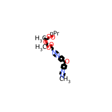 CCCC(=O)OCC(C)OCC(C)OC(=O)CCN1CCN(c2ccc(C(=O)c3ccc(N4CCN(C)CC4)cc3)cc2)CC1